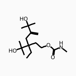 C=C(CC(CC)(CCOC(=O)NC)C(C)(C)O)C(C)(C)O